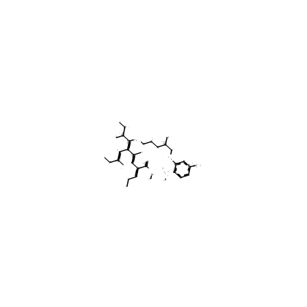 CC/C=C(\C=C(/C)C(/C=C(\C)CC)=C(OCCCC(C)CNc1cc(Br)ccc1[N+](=O)[O-])C(C)CC)C(=O)OC